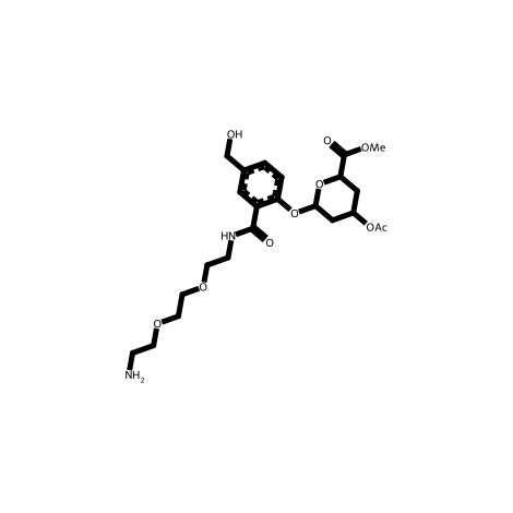 COC(=O)C1CC(OC(C)=O)CC(Oc2ccc(CO)cc2C(=O)NCCOCCOCCN)O1